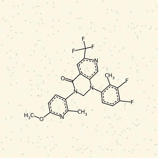 COc1ccc(N2CN(c3ccc(F)c(F)c3C)c3cnc(C(F)(F)F)cc3C2=O)c(C)n1